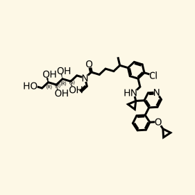 C=CN(C[C@H](O)[C@@H](O)[C@H](O)[C@H](O)CO)C(=O)CCCC(C)c1ccc(Cl)c(CNC2(c3cnccc3-c3ccccc3OC3CC3)CC2)c1